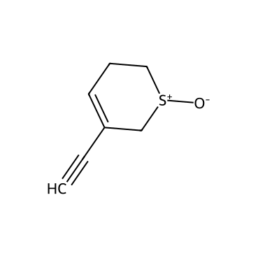 C#CC1=CCC[S+]([O-])C1